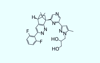 Cc1cc(-c2cncc([C@@]34CC[C@@H](c5cc(-c6c(F)cccc6F)nnc53)C4(C)C)n2)nn1CC(O)CO